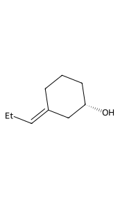 CC/C=C1\CCC[C@H](O)C1